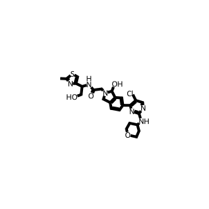 Cc1nc(C(CO)NC(=O)CN2Cc3ccc(-c4nc(NC5CCOCC5)ncc4Cl)cc3C2O)cs1